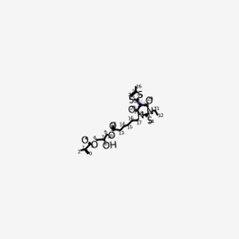 C=C(C)C(=O)OCC(O)COC(=O)CCCCCN1C(=O)/C(=C2\SC=C(C)S2)C(=O)N(CC)C1=S